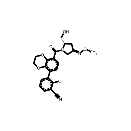 CO/N=C1\C[C@@H](CO)N(C(=O)c2ccc(-c3cccc(C#N)c3Cl)c3c2OCCO3)C1